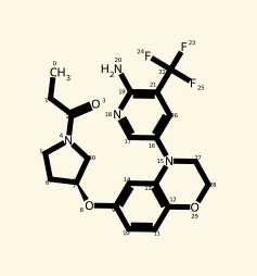 CCC(=O)N1CC[C@H](Oc2ccc3c(c2)N(c2cnc(N)c(C(F)(F)F)c2)CCO3)C1